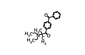 CCN(CC)C(C)(C)C(=O)c1ccc(C(=O)c2ccccc2)cc1